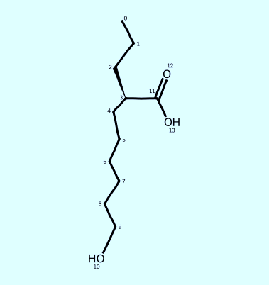 CCC[C@H](CCCCCCO)C(=O)O